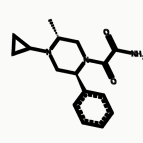 C[C@@H]1CN(C(=O)C(N)=O)[C@@H](c2ccccc2)CN1C1CC1